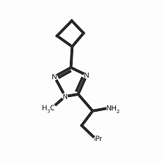 CC(C)CC(N)c1nc(C2CCC2)nn1C